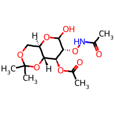 CC(=O)NO[C@H]1C(O)O[C@@H]2COC(C)(C)O[C@H]2[C@@H]1OC(C)=O